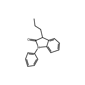 CCCC1C(=O)N(c2ccccc2)c2ccccc21